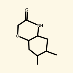 CC1CC2NC(=O)COC2CC1C